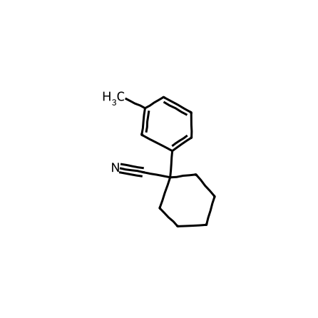 Cc1cccc(C2(C#N)CCCCC2)c1